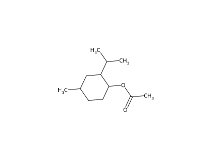 CC(=O)OC1CCC(C)CC1C(C)C